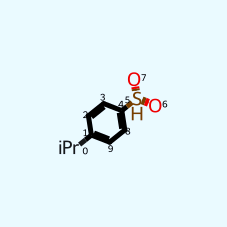 CC(C)c1ccc([SH](=O)=O)cc1